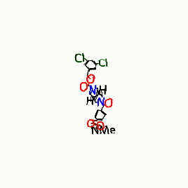 CNS(=O)(=O)c1ccc(C(=O)N2C[C@H]3CN(C(=O)OCc4cc(Cl)cc(Cl)c4)C[C@H]3C2)cc1